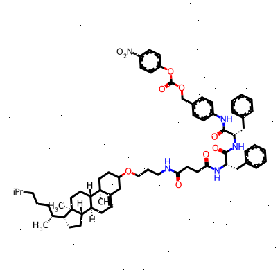 CC(C)CCC[C@@H](C)[C@H]1CC[C@H]2[C@@H]3CC=C4CC(OCCCNC(=O)CCC(=O)N[C@@H](Cc5ccccc5)C(=O)N[C@@H](Cc5ccccc5)C(=O)Nc5ccc(COC(=O)Oc6ccc([N+](=O)[O-])cc6)cc5)CC[C@]4(C)[C@H]3CC[C@]12C